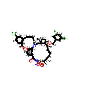 C[C@@H]1[C@@H](C)C/C=C/[C@@](C)(OCc2cc(F)cc(F)c2)[C@@H]2CC[C@H]2CN2CCCCc3cc(Cl)ccc3COc3ccc(cc32)C(=O)NS1(=O)=O